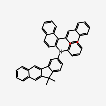 CC1(C)c2ccc(N(c3ccccc3)c3ccc4ccccc4c3-c3ccc4ccccc4c3)cc2-c2cc3ccccc3cc21